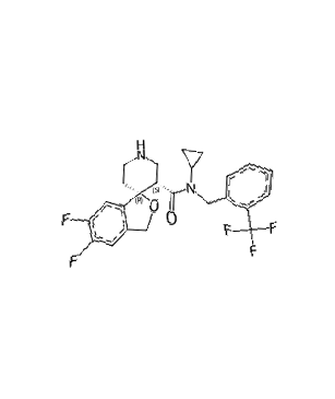 O=C([C@H]1CNCC[C@@]12OCc1cc(F)c(F)cc12)N(Cc1ccccc1C(F)(F)F)C1CC1